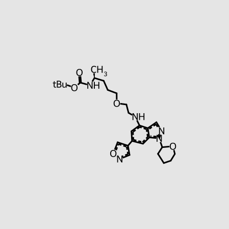 C[C@@H](CCCOCCNc1cc(-c2cnoc2)cc2c1cnn2C1CCCCO1)NC(=O)OC(C)(C)C